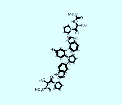 COC(=O)N[C@H](C(=O)N1CCC[C@H]1c1nc2cc([C@@H]3CC[C@@H](c4ccc5[nH]c([C@@H]6CCCN6C(=O)[C@@H](N(C)C(=O)O)C(C)(C)C)nc5c4)N3c3ccc(F)cc3)ccc2[nH]1)C(C)(C)C